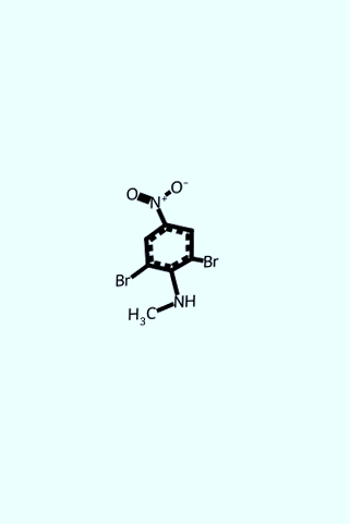 CNc1c(Br)cc([N+](=O)[O-])cc1Br